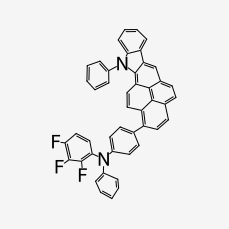 Fc1ccc(N(c2ccccc2)c2ccc(-c3ccc4ccc5cc6c7ccccc7n(-c7ccccc7)c6c6ccc3c4c56)cc2)c(F)c1F